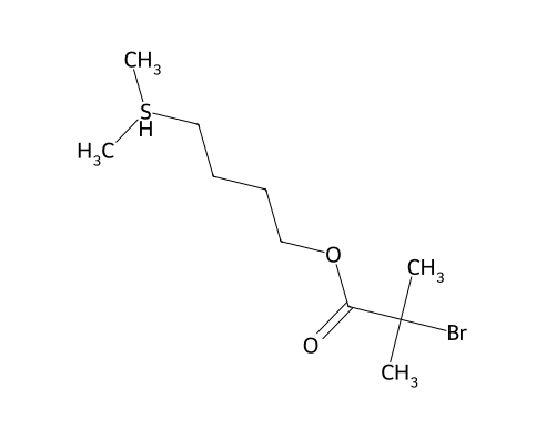 C[SH](C)CCCCOC(=O)C(C)(C)Br